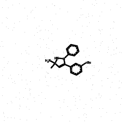 CCCCc1cccc(C2=CC(C)(N)NN2c2ccccc2)c1